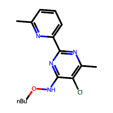 CCCCONc1nc(-c2cccc(C)n2)nc(C)c1Cl